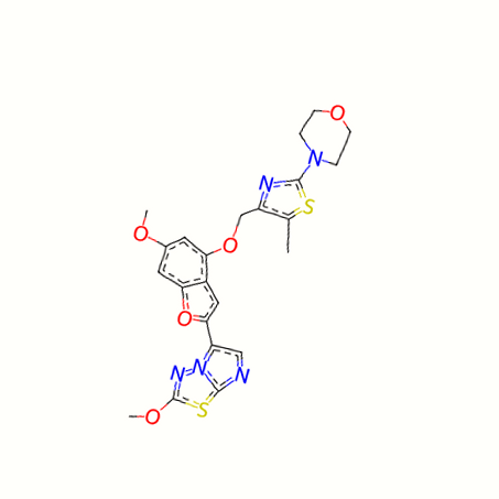 COc1cc(OCc2nc(N3CCOCC3)sc2C)c2cc(-c3cnc4sc(OC)nn34)oc2c1